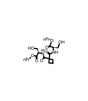 CCCOC(=O)[C@@H](CO)NC(=O)C1(C(=O)N[C@H](CO)C(=O)OCCC)CCC1